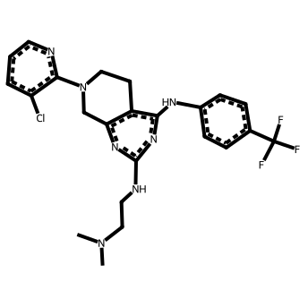 CN(C)CCNc1nc2c(c(Nc3ccc(C(F)(F)F)cc3)n1)CCN(c1ncccc1Cl)C2